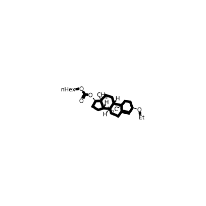 CCCCCCOC(=O)O[C@H]1CC[C@H]2[C@@H]3CCC4=C[C@@H](OCC)CC[C@]4(C)[C@H]3CC[C@]12C